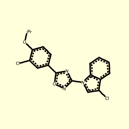 CC(C)Oc1ccc(-c2nc(-n3cc(Cl)c4ccccc43)no2)cc1Cl